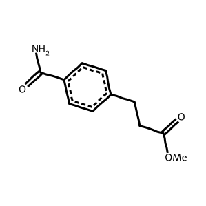 COC(=O)CCc1ccc(C(N)=O)cc1